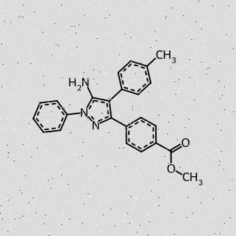 COC(=O)c1ccc(-c2nn(-c3ccccc3)c(N)c2-c2ccc(C)cc2)cc1